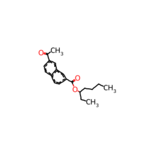 CCCCC(CC)OC(=O)c1ccc2ccc(C(C)=O)cc2c1